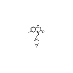 Cc1ccc2c(c1)N(CCN1CCN(C)CC1)C(=O)CO2